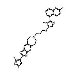 Cc1ccc2c(-c3ncc(SCCCN4CCc5cc6nc(-c7cc(C)nn7C)oc6cc5CC4)n3C)cccc2n1